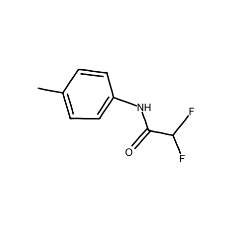 Cc1ccc(NC(=O)C(F)F)cc1